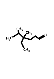 CCC(C)(CCC=O)C(C)C